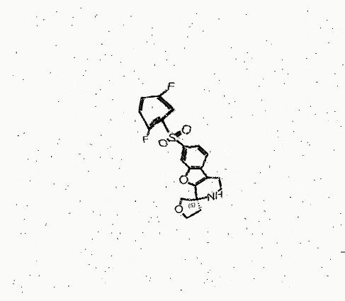 O=S(=O)(c1ccc2c3c(oc2c1)[C@@]1(CCOC1)NCC3)c1cc(F)ccc1F